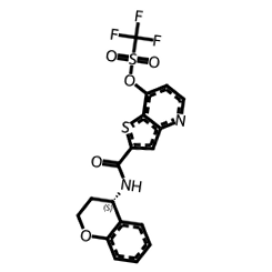 O=C(N[C@H]1CCOc2ccccc21)c1cc2nccc(OS(=O)(=O)C(F)(F)F)c2s1